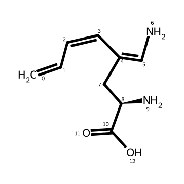 C=C/C=C\C(=C/N)C[C@@H](N)C(=O)O